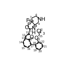 O=C(N[C@H]1CNCCC1(F)F)c1cc2cccc(-c3ccccc3OCC(F)(F)F)c2o1